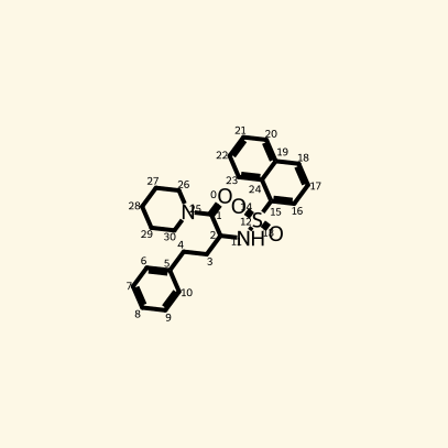 O=C(C(CCc1ccccc1)NS(=O)(=O)c1cccc2ccccc12)N1CCCCC1